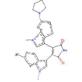 Cn1cc(C2=C(c3cn(C)c4cc(N5CCCC5)ccc34)C(=O)NC2=O)c2ccc(C#N)cc21